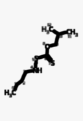 CCCCNSC(=S)OCC(C)C